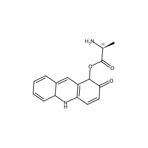 C[C@H](N)C(=O)OC1C(=O)C=CC2=C1C=C1C=CC=CC1N2